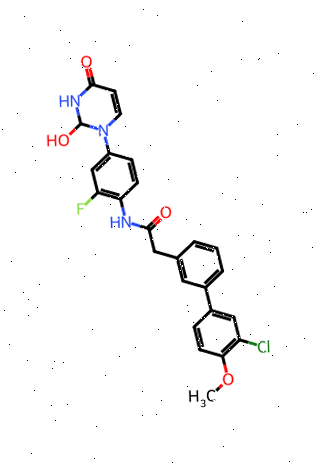 COc1ccc(-c2cccc(CC(=O)Nc3ccc(N4C=CC(=O)NC4O)cc3F)c2)cc1Cl